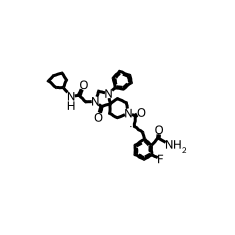 NC(=O)c1c(F)cccc1C[CH]C(=O)N1CCC2(CC1)C(=O)N(CC(=O)NC1CCCCC1)CN2c1ccccc1